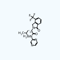 CC(C)C[C@@H](C(=O)Nc1cnccn1)N1Cc2c(cccc2C(F)(F)F)C1=O